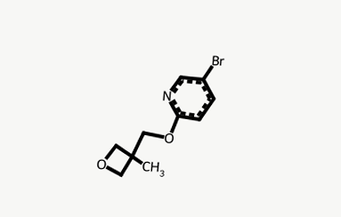 CC1(COc2ccc(Br)cn2)COC1